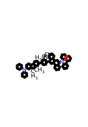 CC1(C)c2cc(-c3ccc4c(c3)[Si](C)(C)c3cccc5c3c-4cc3c4ccccc4c(N(c4ccccc4)c4ccccc4-c4ccccc4)cc53)ccc2-c2ccc(N(c3ccccc3)c3ccccc3)cc21